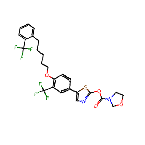 O=C(Oc1ncc(-c2ccc(OCCCCCc3ccccc3C(F)(F)F)c(C(F)(F)F)c2)s1)N1CCOC1